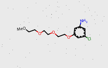 COCCOCCOCCOc1cc(N)cc(Cl)c1